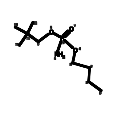 CCCCOP(N)(=O)OCC(C)(C)C